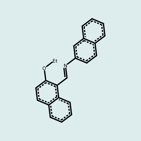 CCOc1ccc2ccccc2c1/C=N/c1ccc2ccccc2c1